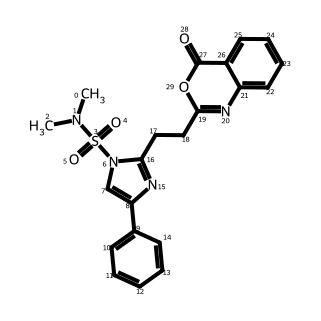 CN(C)S(=O)(=O)n1cc(-c2ccccc2)nc1CCc1nc2ccccc2c(=O)o1